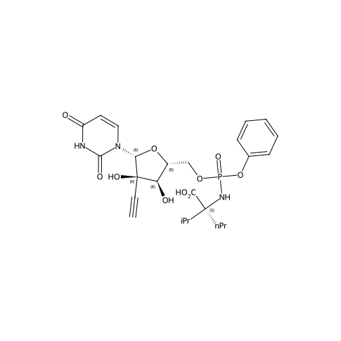 C#C[C@@]1(O)[C@H](O)[C@@H](COP(=O)(N[C@](CCC)(C(=O)O)C(C)C)Oc2ccccc2)O[C@H]1n1ccc(=O)[nH]c1=O